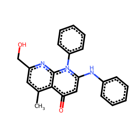 Cc1cc(CO)nc2c1c(=O)cc(Nc1ccccc1)n2-c1ccccc1